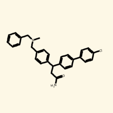 CN(Cc1ccccc1)Cc1ccc(C(CC(N)=O)c2ccc(-c3ccc(Cl)cc3)cc2)cc1